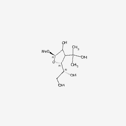 CO[C@@H]1O[C@@H]([C@H](O)CO)C(C(C)(C)O)C1O